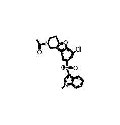 CC(=O)N1CCc2oc3c(Cl)cc(S(=O)(=O)c4cn(C)c5ccccc45)cc3c2C1